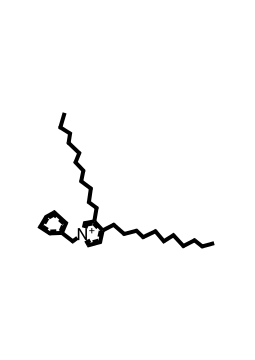 CCCCCCCCCCCc1cc[n+](Cc2ccccc2)cc1CCCCCCCCCCC